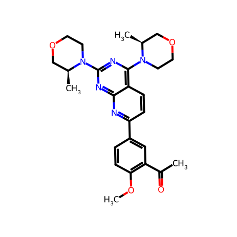 COc1ccc(-c2ccc3c(N4CCOC[C@@H]4C)nc(N4CCOC[C@@H]4C)nc3n2)cc1C(C)=O